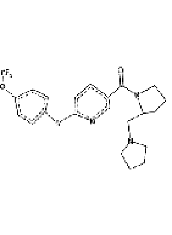 O=C(c1ccc(Sc2ccc(OC(F)(F)F)cc2)nc1)N1CCCC1CN1CCCC1